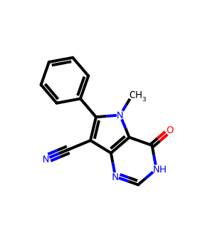 Cn1c(-c2ccccc2)c(C#N)c2nc[nH]c(=O)c21